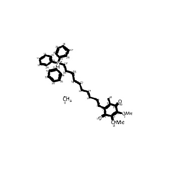 C.COC1=C(OC)C(=O)C(CCCCCCCCCC[PH](c2ccccc2)(c2ccccc2)c2ccccc2)=C(C)C1=O